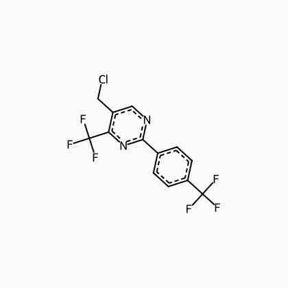 FC(F)(F)c1ccc(-c2ncc(CCl)c(C(F)(F)F)n2)cc1